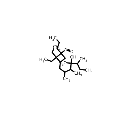 CCCC1(N=O)CC(CC(C)C(C)C(C)(O)C(C)CC)C1(CC)CC